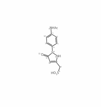 CC(=O)Nc1ccc(-n2[nH]c(CS(=O)(=O)O)cc2=O)cc1